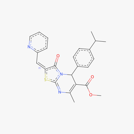 COC(=O)C1=C(C)N=c2s/c(=C/c3ccccn3)c(=O)n2C1c1ccc(C(C)C)cc1